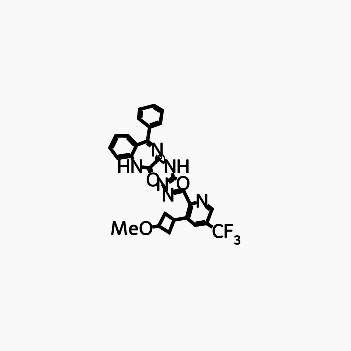 COC1CC(c2cc(C(F)(F)F)cnc2-c2nnc(N[C@@H]3N=C(c4ccccc4)c4ccccc4NC3=O)o2)C1